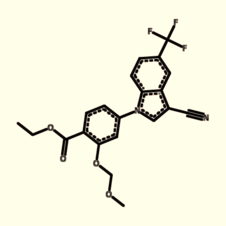 CCOC(=O)c1ccc(-n2cc(C#N)c3cc(C(F)(F)F)ccc32)cc1OCOC